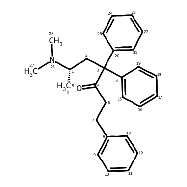 C[C@@H](CC(C(=O)CCc1ccccc1)(c1ccccc1)c1ccccc1)N(C)C